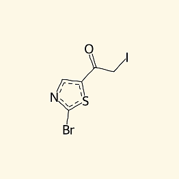 O=C(CI)c1cnc(Br)s1